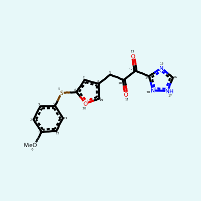 COc1ccc(Sc2cc(CC(=O)C(=O)c3nc[nH]n3)co2)cc1